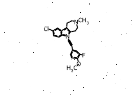 COc1ccc(C#Cn2c3c(c4cc(Cl)ccc42)CCN(C)CC3)cc1F